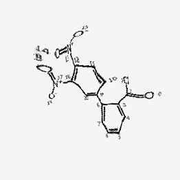 O=C(Cl)c1ccccc1-c1ccc([N+](=O)[O-])c([N+](=O)[O-])c1